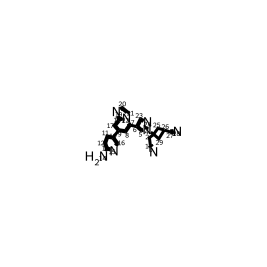 N#CCC1(n2cc(-c3cc(-c4ccc(N)nc4)cc4nccn34)cn2)CC(C#N)C1